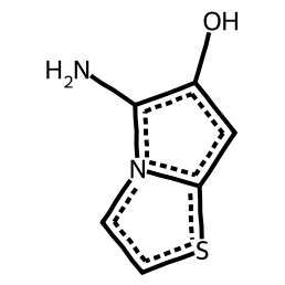 Nc1c(O)cc2sccn12